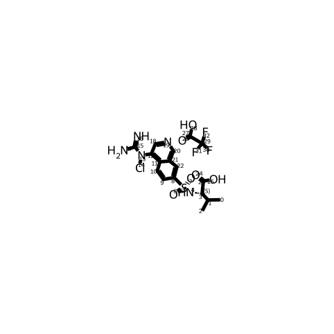 CC(C)[C@H](NS(=O)(=O)c1ccc2c(N(Cl)C(=N)N)cncc2c1)C(=O)O.O=C(O)C(F)(F)F